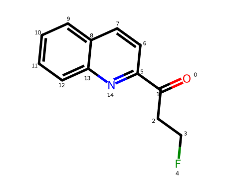 O=C(CCF)c1ccc2ccccc2n1